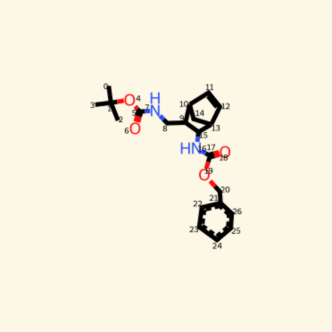 CC(C)(C)OC(=O)NCC1C2C=CC(C2)C1NC(=O)OCc1ccccc1